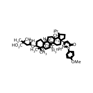 C=C(CC(C)(C)C(=O)O)O[C@H]1CCC2(C)[C@H]3CC[C@]4(C)C5=C(C(C)C)CC[C@]5(c5cc(=O)n(-c6ccc(OC)cc6)n5CCC)CC[C@@]4(C)C3(C)CC[C@H]2C1(C)C